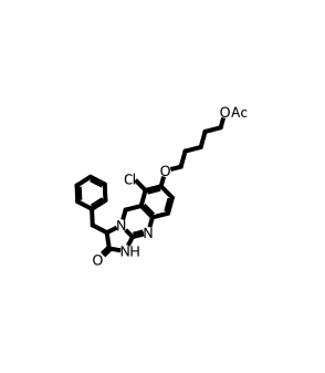 CC(=O)OCCCCCOc1ccc2c(c1Cl)CN1C(=N2)NC(=O)C1Cc1ccccc1